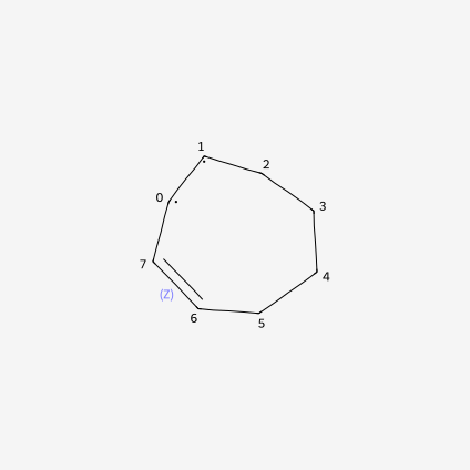 [CH]1[CH]CCCC/C=C\1